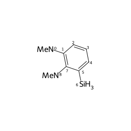 CNc1cccc([SiH3])c1NC